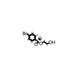 O=S(=O)(OCCO)c1ccc(Br)cc1